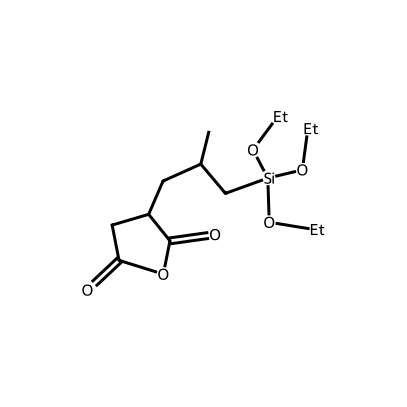 CCO[Si](CC(C)CC1CC(=O)OC1=O)(OCC)OCC